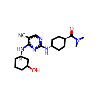 CN(C)C(=O)[C@H]1CC[C@H](Nc2ncc(C#N)c(N[C@@H]3CCCC(O)C3)n2)CC1